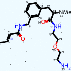 C/C=C/C(=O)NCc1cccc(CC(NC)C(=O)NCCOCCN)c1